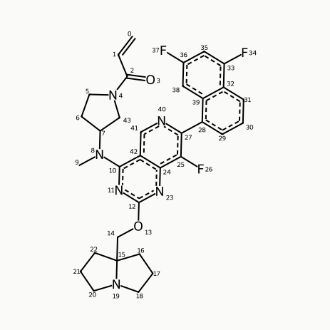 C=CC(=O)N1CCC(N(C)c2nc(OCC34CCCN3CCC4)nc3c(F)c(-c4cccc5c(F)cc(F)cc45)ncc23)C1